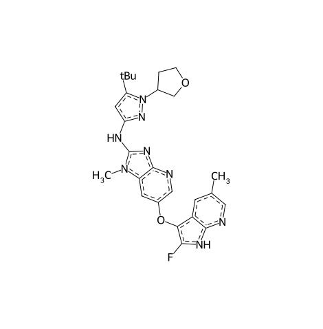 Cc1cnc2[nH]c(F)c(Oc3cnc4nc(Nc5cc(C(C)(C)C)n(C6CCOC6)n5)n(C)c4c3)c2c1